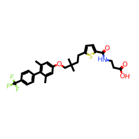 Cc1cc(OCC(C)(C)CCc2ccc(C(=O)NCCC(=O)O)s2)cc(C)c1-c1ccc(C(F)(F)F)cc1